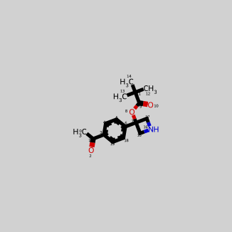 CC(=O)c1ccc(C2(OC(=O)C(C)(C)C)CNC2)cc1